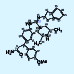 COc1ccc(C(CC(N)=O)c2ccc(N/C(=N/C3Cc4ccccc4C3)N3CC(C)NC(C)C3)cc2)cc1